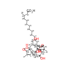 CC1=C[C@H]2[C@@]3(O)[C@H](C)[C@@H](O)[C@]4(OC(=O)CCCCCCCCCCCC(C)CC(=O)O)[C@@H]([C@@H]3C=C(CO)C[C@]2(O)C1=O)C4(C)C